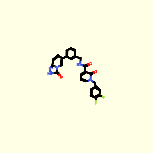 O=C(NCc1cccc(-c2ccc3n[nH]c(=O)n3c2)c1)c1cccn(Cc2ccc(F)c(F)c2)c1=O